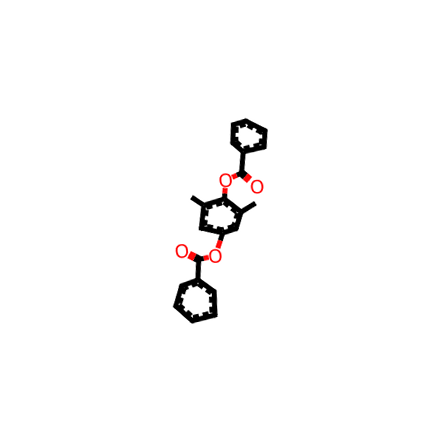 Cc1cc(OC(=O)c2ccccc2)cc(C)c1OC(=O)c1ccccc1